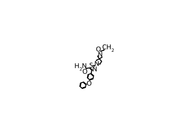 C=CC(=O)N1CC2(CCN(c3nc(-c4ccc(Oc5ccccc5)cc4)c(C(N)=O)s3)C2)C1